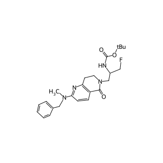 CN(Cc1ccccc1)c1ccc2c(n1)CCN(CC(CF)NC(=O)OC(C)(C)C)C2=O